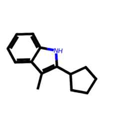 Cc1c(C2CCCC2)[nH]c2ccccc12